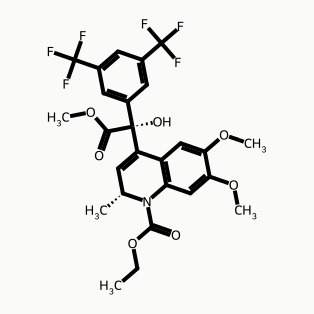 CCOC(=O)N1c2cc(OC)c(OC)cc2C([C@@](O)(C(=O)OC)c2cc(C(F)(F)F)cc(C(F)(F)F)c2)=C[C@H]1C